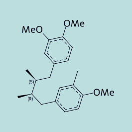 COc1ccc(C[C@@H](C)[C@@H](C)Cc2ccc(OC)c(OC)c2)cc1C